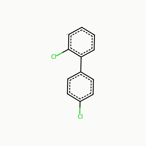 Clc1ccc(-c2ccc[c]c2Cl)cc1